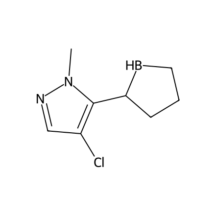 Cn1ncc(Cl)c1C1BCCC1